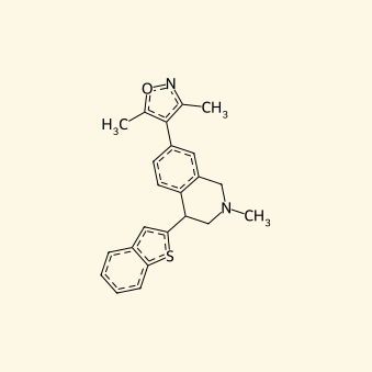 Cc1noc(C)c1-c1ccc2c(c1)CN(C)CC2c1cc2ccccc2s1